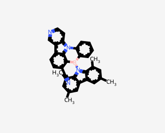 Cc1cc(C)c2c(c1)c1cc(C)cc(C)c1n2B1c2ccccc2-n2c3ccncc3c3ccc(C#N)c1c32